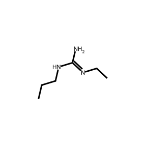 CCCNC(N)=NCC